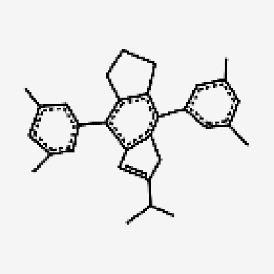 Cc1cc(C)cc(-c2c3c(c(-c4cc(C)cc(C)c4)c4c2CCC4)CC(C(C)C)=C3)c1